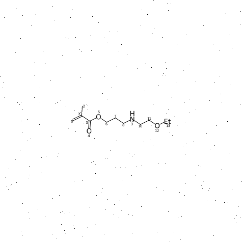 C=C(C)C(=O)OCCCNCCOCC